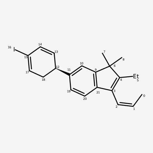 C/C=C\C1=C(CC)C(C)(C)c2cc([C@@H]3C=CC(I)=CC3)ccc21